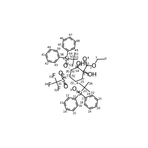 CCOC(=O)[C@]1(O)C[C@H](O[Si](c2ccccc2)(c2ccccc2)C(C)(C)C)[C@H](S(=O)(=O)C(F)(F)F)[C@H](O[Si](c2ccccc2)(c2ccccc2)C(C)(C)C)[C@H]1O